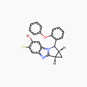 Fc1cc2nc3n(c2cc1Br)C(c1ccccc1Oc1ccccc1)[C@@H]1C[C@H]31